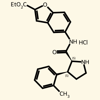 CCOC(=O)c1cc2cc(NC(=O)[C@H]3NCC[C@H]3c3ccccc3C)ccc2o1.Cl